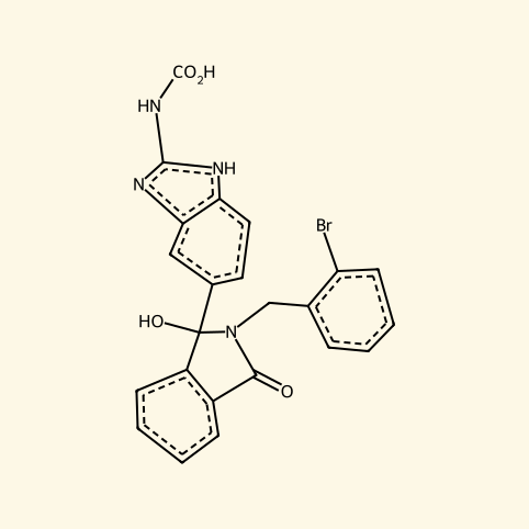 O=C(O)Nc1nc2cc(C3(O)c4ccccc4C(=O)N3Cc3ccccc3Br)ccc2[nH]1